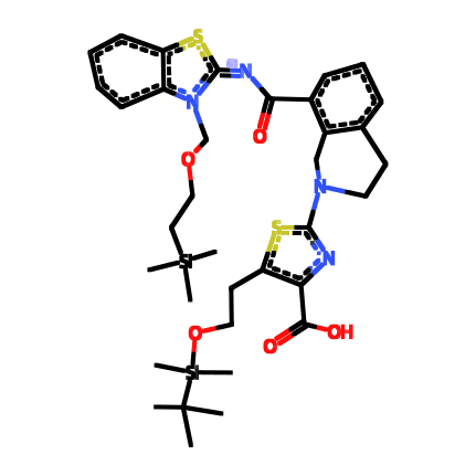 CC(C)(C)[Si](C)(C)OCCc1sc(N2CCc3cccc(C(=O)/N=c4/sc5ccccc5n4COCC[Si](C)(C)C)c3C2)nc1C(=O)O